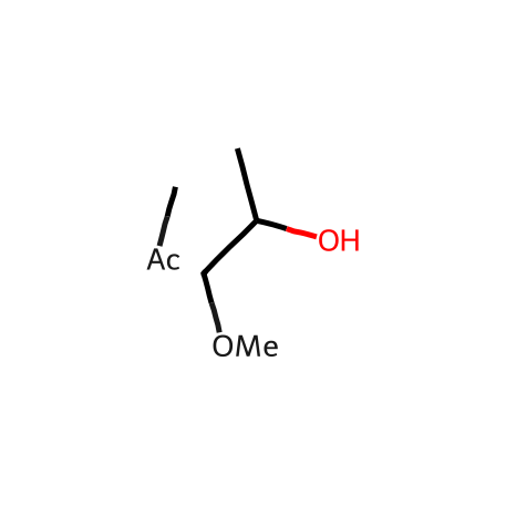 CC(C)=O.COCC(C)O